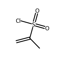 C=C(C)S(=O)(=O)Cl